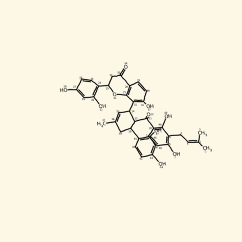 CC(C)=CCc1c(O)ccc(C(=O)C2C(c3c(O)ccc4c3OC(c3ccc(O)cc3O)CC4=O)C=C(C)CC2c2ccc(O)cc2O)c1O